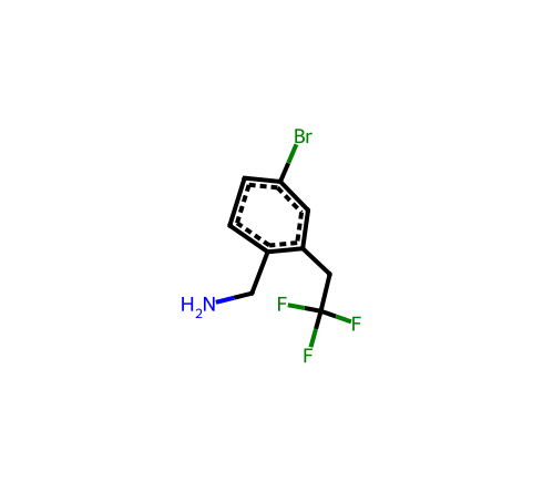 NCc1ccc(Br)cc1CC(F)(F)F